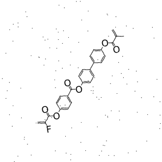 C=C(C)C(=O)Oc1ccc(-c2ccc(OC(=O)c3ccc(OC(=O)C(=C)F)cc3)cc2)cc1